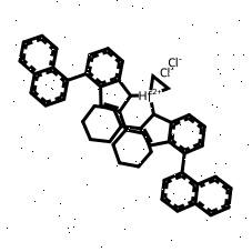 C1=C(C2CCCCC2)[CH]([Hf+2]2([CH]3C(C4CCCCC4)=Cc4c(-c5cccc6ccccc56)cccc43)[CH2][CH2]2)c2cccc(-c3cccc4ccccc34)c21.[Cl-].[Cl-]